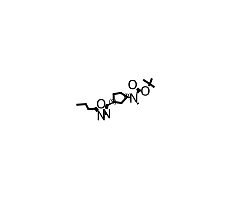 CCCc1nnc([C@H]2CC[C@@H](N(C)C(=O)OC(C)(C)C)C2)o1